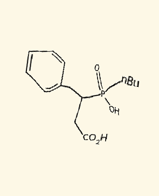 CCCCP(=O)(O)C(CC(=O)O)c1ccccc1